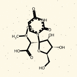 CN(C)C(C(=O)O)[C@@]1(n2ccc(=O)[nH]c2=O)O[C@H](CO)[C@@H](O)[C@H]1O